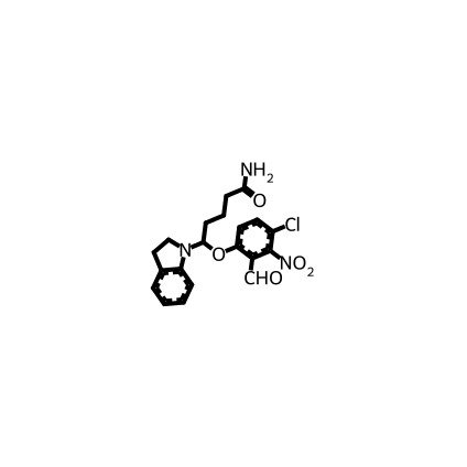 NC(=O)CCCC(Oc1ccc(Cl)c([N+](=O)[O-])c1C=O)N1CCc2ccccc21